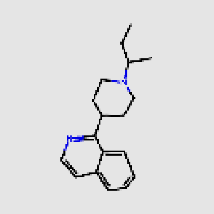 CCC(C)N1CCC(c2nccc3ccccc23)CC1